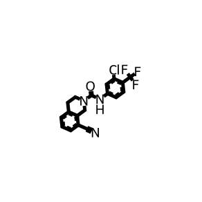 N#Cc1cccc2c1CN(C(=O)Nc1ccc(C(F)(F)F)c(Cl)c1)CC2